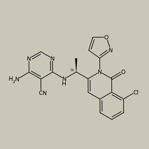 C[C@H](Nc1ncnc(N)c1C#N)c1cc2cccc(Cl)c2c(=O)n1-c1ccon1